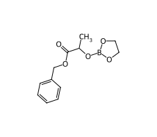 CC(OB1OCCO1)C(=O)OCc1ccccc1